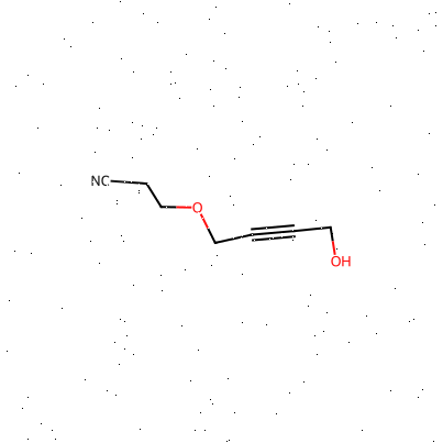 N#CCCOCC#CCO